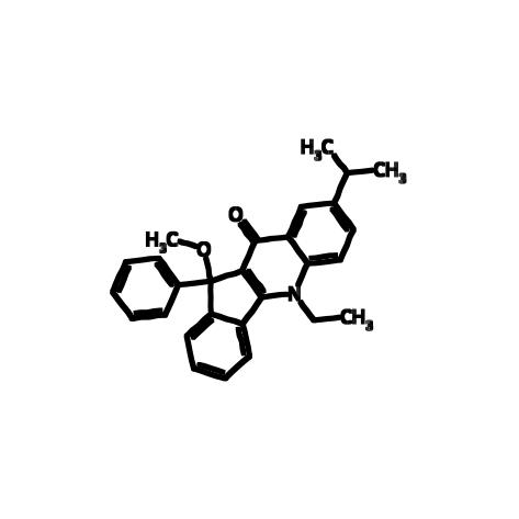 CCn1c2c(c(=O)c3cc(C(C)C)ccc31)C(OC)(c1ccccc1)c1ccccc1-2